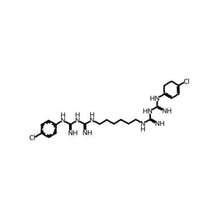 N=C(NCCCCCCNC(=N)NC(=N)Nc1ccc(Cl)cc1)NC(=N)NC1=CC=C(Cl)CC1